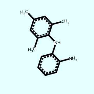 Cc1cc(C)c(Nc2ccccc2N)c(C)c1